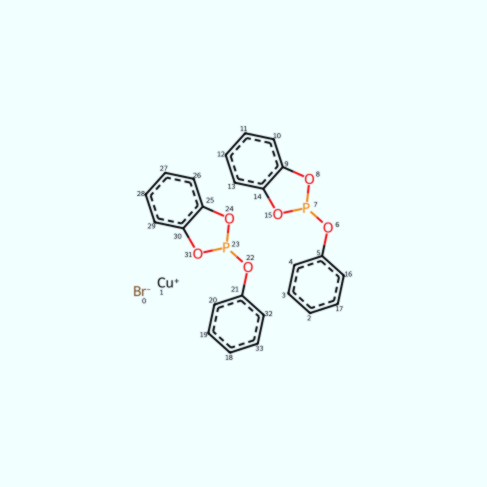 [Br-].[Cu+].c1ccc(OP2Oc3ccccc3O2)cc1.c1ccc(OP2Oc3ccccc3O2)cc1